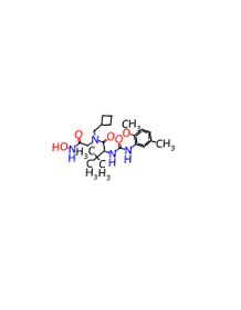 COc1ccc(C)cc1NC(=O)N[C@H](C(=O)N(CC(=O)NO)CC1CCC1)C(C)(C)C